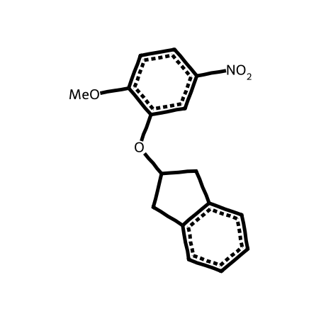 COc1ccc([N+](=O)[O-])cc1OC1Cc2ccccc2C1